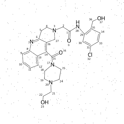 O=C(CN1CCc2nc3ccccc3c(C(=O)N3CCN(CCO)CC3)c2C1)Nc1cc(Cl)ccc1CO